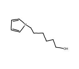 OCCCCCCn1cccc1